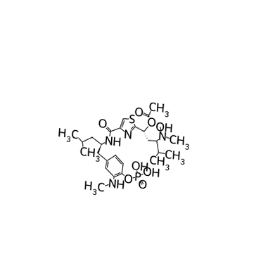 CNc1cc(C[C@@H](CC(C)C)NC(=O)c2csc([C@@H](CC(C(C)C)N(C)O)OC(C)=O)n2)ccc1OP(=O)(O)O